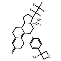 CC1(c2ccc([C@H]3C[C@@]4(C)C(CC[C@@]4(O)C(F)(F)C(F)(F)F)C4CCC5=CC(=O)CCC5=C43)cc2)COC1